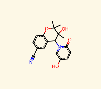 CC1(C)Oc2ccc(C#N)cc2C(n2cc(O)ccc2=O)C1(C)O